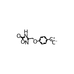 [CH2-][CH+]c1ccc(OCc2noc(=O)[nH]2)cc1